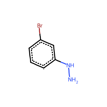 NNc1[c]ccc(Br)c1